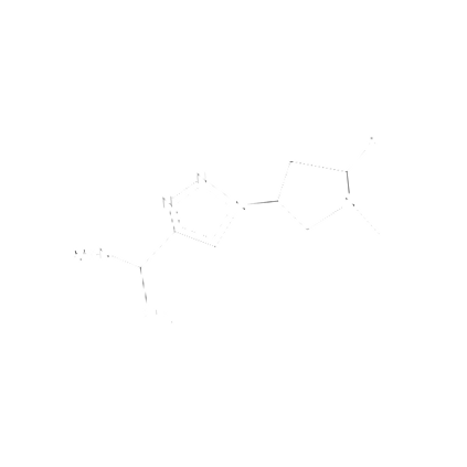 CNC(C(=O)O)c1cn(C2CC(C(C)=O)N(C)C2)nn1